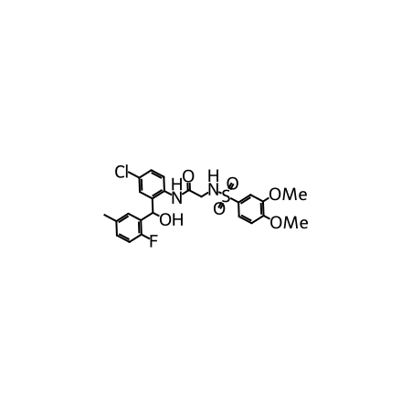 COc1ccc(S(=O)(=O)NCC(=O)Nc2ccc(Cl)cc2C(O)c2cc(C)ccc2F)cc1OC